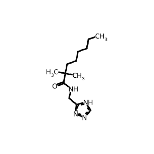 CCCCCCC(C)(C)C(=O)NCc1nnc[nH]1